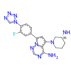 Nc1ncnn2c(-c3ccc(-n4cnnn4)c(F)c3)cc(N3CCC[C@@H](N)C3)c12